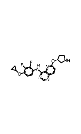 Fc1c(Nc2ncnc3ccc(O[C@H]4CCNC4)nc23)ccc(OC2CC2)c1F